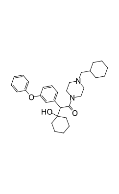 O=C(C(c1cccc(Oc2ccccc2)c1)C1(O)CCCCC1)N1CCN(CC2CCCCC2)CC1